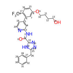 O=C(Nc1cc(-c2cc(OCCCCO)ccc2C(F)(F)F)ccn1)c1nnc(Cc2ccccc2)[nH]1